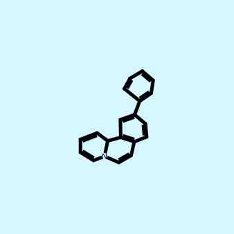 C1=CC2c3cc(-c4ccccc4)ccc3C=CN2C=C1